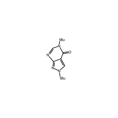 CC(C)(C)n1cc2c(=O)n(C(C)(C)C)cnc2n1